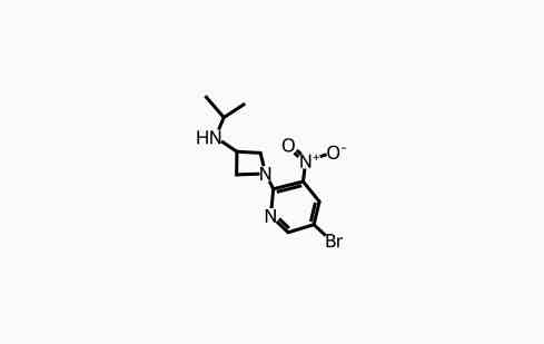 CC(C)NC1CN(c2ncc(Br)cc2[N+](=O)[O-])C1